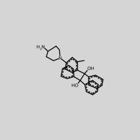 Cc1cc(N2CCC(N)CC2)ccc1C(O)(c1ccccc1)C(O)(c1ccccc1)c1ccccc1